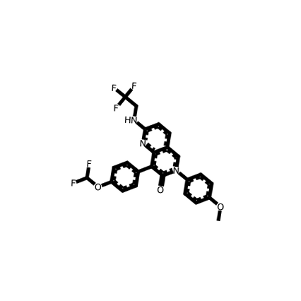 COc1ccc(-n2cc3ccc(NCC(F)(F)F)nc3c(-c3ccc(OC(F)F)cc3)c2=O)cc1